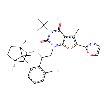 COc1ccccc1C(Cn1c(=O)n(C(C)(C)C(=O)O)c(=O)c2c(C)c(-c3ncco3)sc21)O[C@H]1C[C@@H]2CC[C@@]1(C)C2(C)C